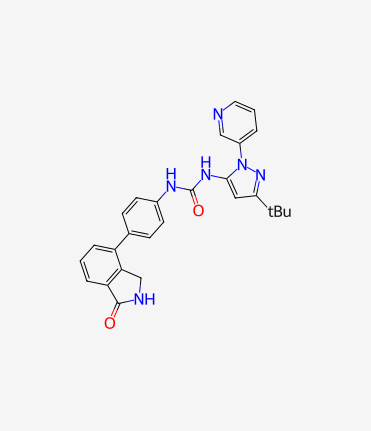 CC(C)(C)c1cc(NC(=O)Nc2ccc(-c3cccc4c3CNC4=O)cc2)n(-c2cccnc2)n1